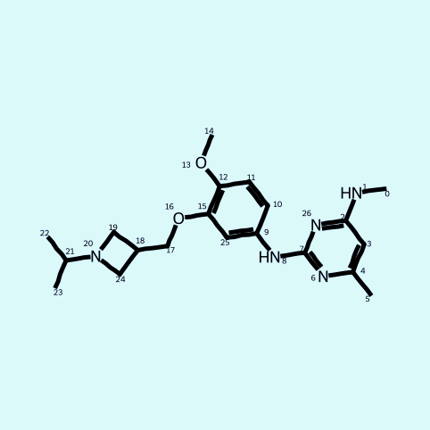 CNc1cc(C)nc(Nc2ccc(OC)c(OCC3CN(C(C)C)C3)c2)n1